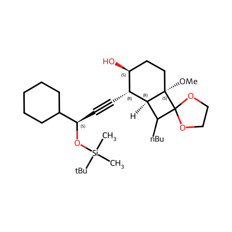 CCCCC1[C@H]2[C@H](C#C[C@@H](O[Si](C)(C)C(C)(C)C)C3CCCCC3)[C@@H](O)CC[C@@]2(OC)C12OCCO2